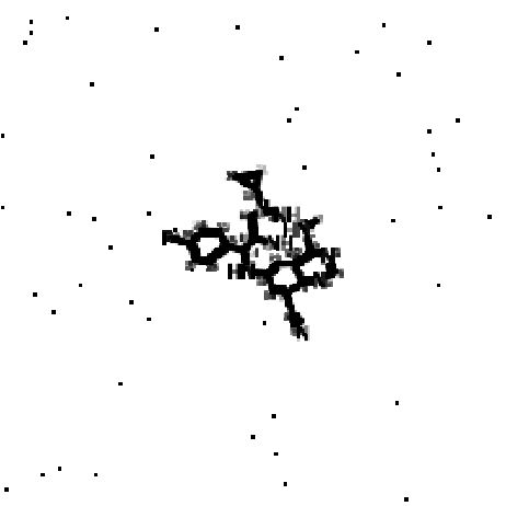 CNc1ncnc2c(C#N)cc(NC(/C(N)=C/N(N)C3CC3)c3ccc(F)cc3)cc12